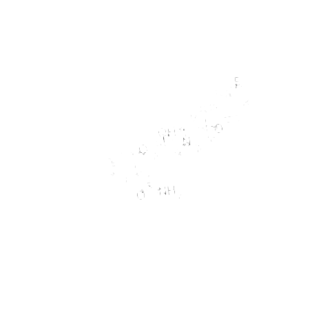 NC(=O)Cc1ccccc1OC[C@@H](O)CN1CCC2(CC1)Cc1cc(F)ccc1O2